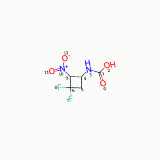 O=C(O)NC1CC(F)(F)C1[N+](=O)[O-]